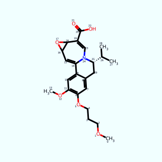 COCCCOc1cc2c(cc1OC)C1=CC3OC3C(C(=O)O)=CN1[C@H](C(C)C)C2